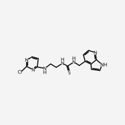 S=C(NCCNc1ccnc(Cl)n1)NCc1ccnc2[nH]ccc12